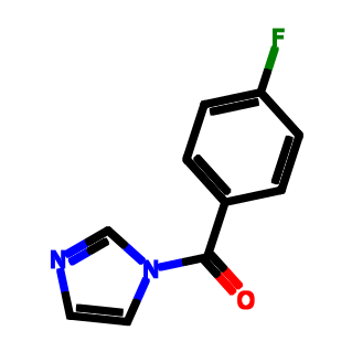 O=C(c1ccc(F)cc1)n1ccnc1